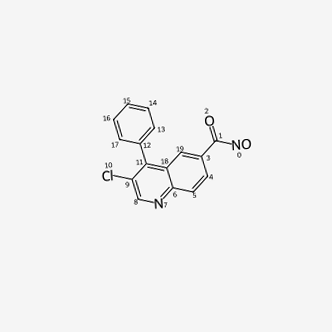 O=NC(=O)c1ccc2ncc(Cl)c(-c3ccccc3)c2c1